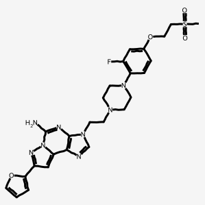 CS(=O)(=O)CCOc1ccc(N2CCN(CCn3cnc4c3nc(N)n3nc(-c5ccco5)cc43)CC2)c(F)c1